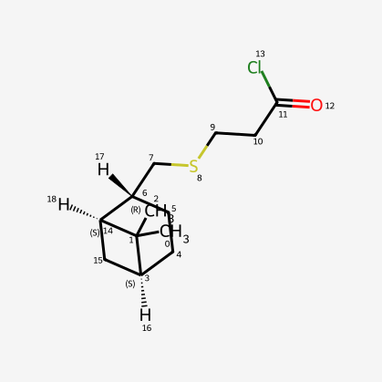 CC1(C)[C@H]2CC[C@@H](CSCCC(=O)Cl)[C@@H]1C2